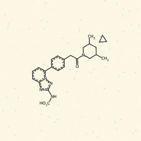 C1CC1.CC1CC(C)CN(C(=O)Cc2ccc(-c3cccc4nc(NC(=O)O)nn34)cc2)C1